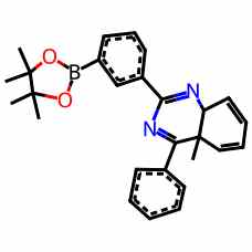 CC12C=CC=CC1N=C(c1cccc(B3OC(C)(C)C(C)(C)O3)c1)N=C2c1ccccc1